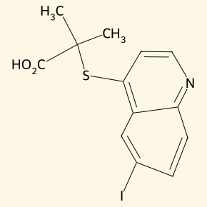 CC(C)(Sc1ccnc2ccc(I)cc12)C(=O)O